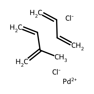 C=CC(=C)C.C=CC=C.[Cl-].[Cl-].[Pd+2]